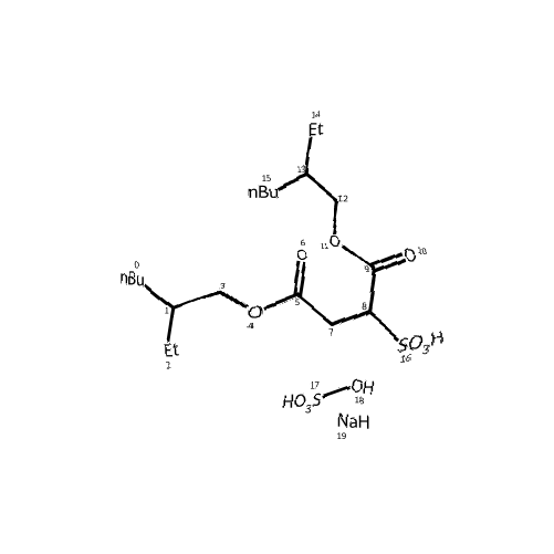 CCCCC(CC)COC(=O)CC(C(=O)OCC(CC)CCCC)S(=O)(=O)O.O=S(=O)(O)O.[NaH]